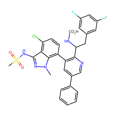 Cn1nc(NS(C)(=O)=O)c2c(Cl)ccc(-c3cc(-c4ccccc4)cnc3C(Cc3cc(F)cc(F)c3)NC(=O)O)c21